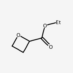 CCOC(=O)[C]1CCO1